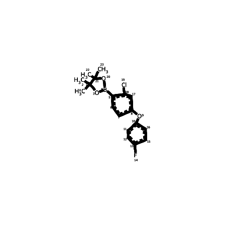 CC1(C)OB(c2ccc(Oc3ccc(F)cc3)cc2Cl)OC1(C)C